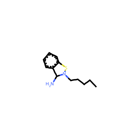 CCCCCN1Sc2ccccc2C1N